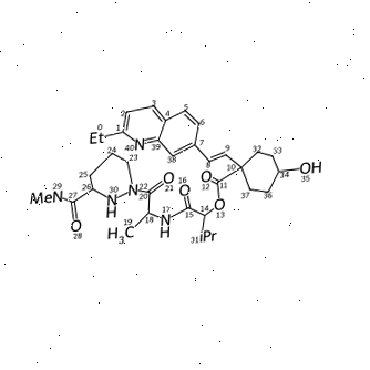 CCc1ccc2ccc(/C=C/C3(C(=O)OC(C(=O)NC(C)C(=O)N4CCCC(C(=O)NC)N4)C(C)C)CCC(O)CC3)cc2n1